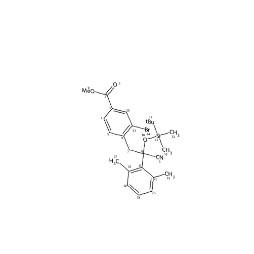 COC(=O)c1ccc(CC(C#N)(O[Si](C)(C)C(C)(C)C)c2c(C)cccc2C)c(Br)c1